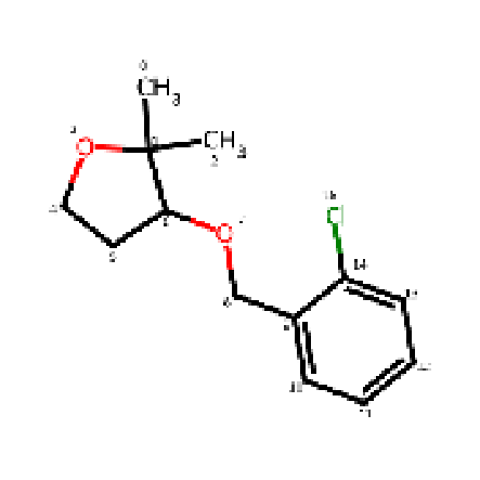 CC1(C)OCCC1OCc1ccccc1Cl